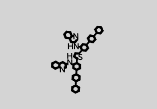 c1ccc(-c2ccc(-c3ccc(-c4ccc(-c5ccc(-c6ccc(-c7ccccc7)cc6)cc5Nc5cnc6ccccc6c5)s4)c(Nc4cnc5ccccc5c4)c3)cc2)cc1